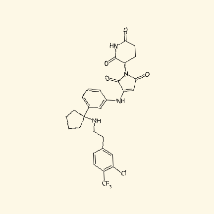 O=C1CCC(N2C(=O)C=C(Nc3cccc(C4(NCCc5ccc(C(F)(F)F)c(Cl)c5)CCCC4)c3)C2=O)C(=O)N1